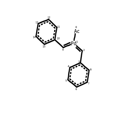 C[C](=O)/[Pd](=[CH]/c1ccccc1)=[CH]\c1ccccc1